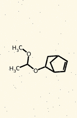 COC(C)OC1CC2C=CC1C2